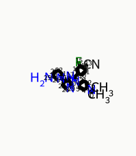 CN(C)c1ccc(-n2c(-c3ccc(C#N)c(F)c3)nc3c(N4CCC[C@@H](N)C4)ccnc32)cc1